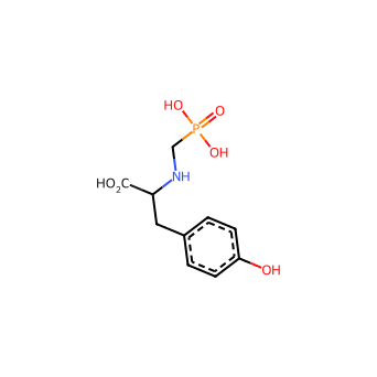 O=C(O)C(Cc1ccc(O)cc1)NCP(=O)(O)O